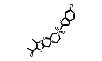 CC(=O)c1sc(CN2CCN(S(=O)(=O)c3cc4ccc(Cl)cc4s3)CC2=O)nc1C